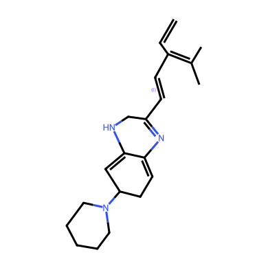 C=CC(/C=C/C1=NC2=CCC(N3CCCCC3)C=C2NC1)=C(C)C